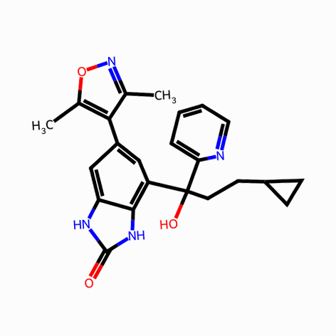 Cc1noc(C)c1-c1cc(C(O)(CCC2CC2)c2ccccn2)c2[nH]c(=O)[nH]c2c1